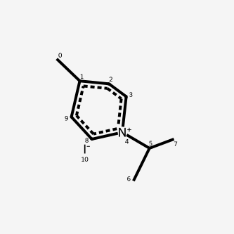 Cc1cc[n+](C(C)C)cc1.[I-]